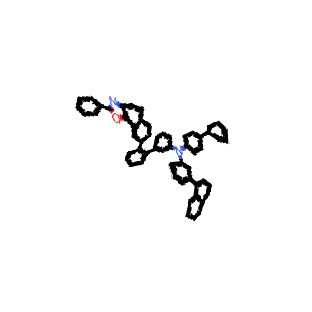 c1ccc(-c2ccc(N(c3cccc(-c4ccccc4-c4ccc5ccc6nc(-c7ccccc7)oc6c5c4)c3)c3cccc(-c4cccc5ccccc45)c3)cc2)cc1